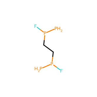 FP(P)CCP(F)P